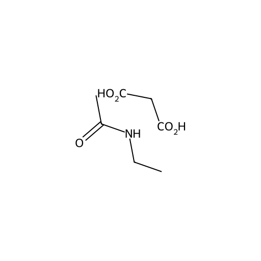 CCNC(C)=O.O=C(O)CC(=O)O